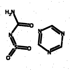 NC(=O)N=S(=O)=O.c1ncncn1